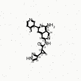 Cc1ccncc1-c1cc2cc(NC(=O)C3CC3c3cc[nH]n3)ncc2c(N)n1